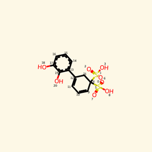 O=S(=O)(O)C1(S(=O)(=O)O)C=CC=C(c2cccc(O)c2O)C1